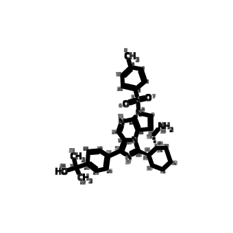 Cc1ccc(S(=O)(=O)n2ccc3c2ncc2c(-c4ccc(C(C)(C)O)cc4)nc([C@@H]4CCCC[C@H]4CN)n23)cc1